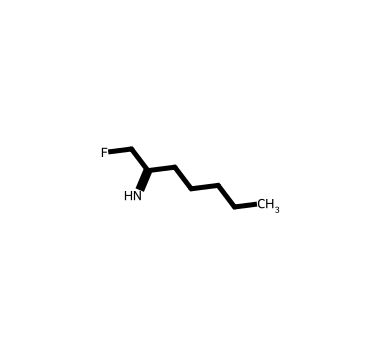 CCCCCC(=N)CF